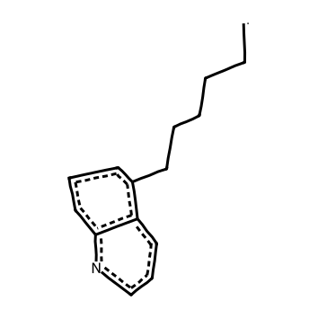 [CH2]CCCCCc1cccc2ncccc12